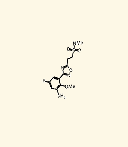 CNS(=O)(=O)CCc1nc(-c2cc(F)cc(N)c2OC)no1